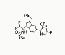 CC(C)(C)Cn1cc([C@H](N[S+]([O-])C(C)(C)C)C(F)F)c2ccc(-c3ncc(F)cc3C(F)(F)F)cc21